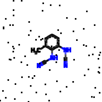 Cc1cccc(NC#N)c1NC#N